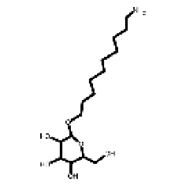 NCCCCCCCCCCOC1OC(CO)C(O)C(O)C1O